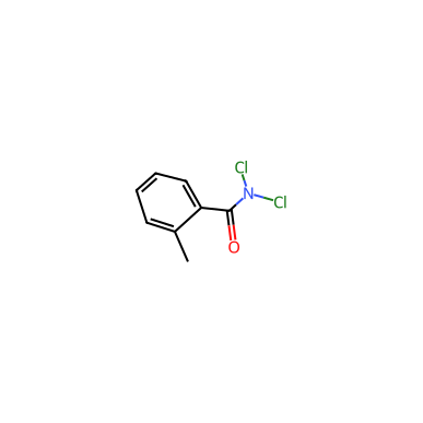 Cc1ccccc1C(=O)N(Cl)Cl